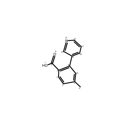 Cc1ccc(C(=O)O)c(-c2cccnc2)c1